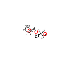 CCC1(COCC2CC3C=CC2O3)COC1